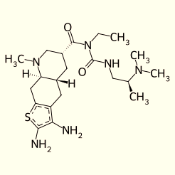 CCN(C(=O)NC[C@H](C)N(C)C)C(=O)[C@@H]1C[C@@H]2Cc3c(sc(N)c3N)C[C@H]2N(C)C1